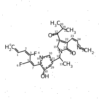 C=C/C=C(F)\C(F)=C/c1ncc(C(C)N2CC(C(=O)C(C)C)=C(/C=C\N=C)C2=O)cc1O